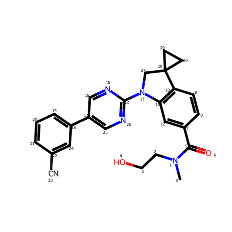 CN(CCO)C(=O)c1ccc2c(c1)N(c1ncc(-c3cccc(C#N)c3)cn1)CC21CC1